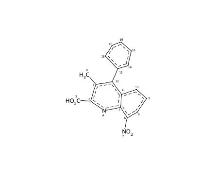 Cc1c(C(=O)O)nc2c([N+](=O)[O-])cccc2c1-c1ccccc1